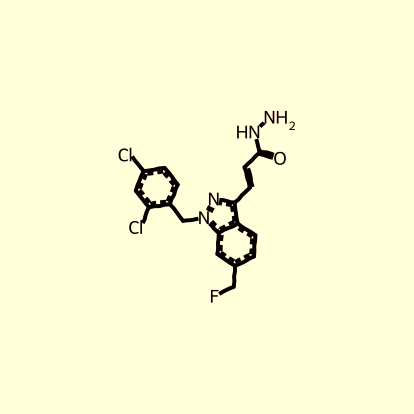 NNC(=O)C=Cc1nn(Cc2ccc(Cl)cc2Cl)c2cc(CF)ccc12